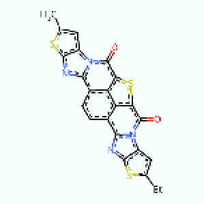 CCc1cc2c(nc3c4ccc5c6c(sc(c(=O)n23)c46)c(=O)n2c3cc(C)sc3nc52)s1